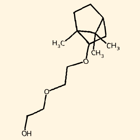 CC1(C)C2CCC1(C)C(OCCOCCO)C2